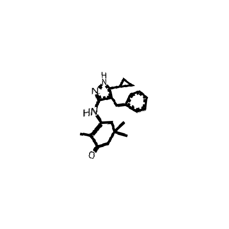 CC1=C(Nc2n[nH]c(C3CC3)c2Cc2ccccc2)CC(C)(C)CC1=O